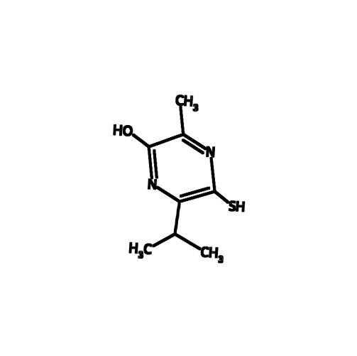 Cc1nc(S)c(C(C)C)nc1O